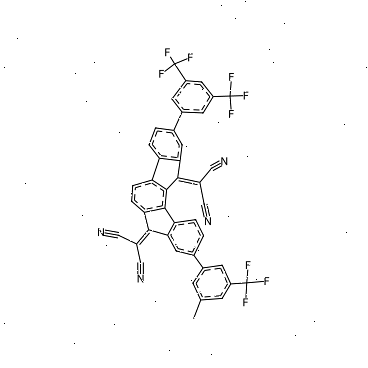 Cc1cc(-c2ccc3c(c2)C(=C(C#N)C#N)c2ccc4c(c2-3)C(=C(C#N)C#N)c2cc(-c3cc(C(F)(F)F)cc(C(F)(F)F)c3)ccc2-4)cc(C(F)(F)F)c1